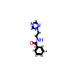 O=C(NCCn1cncn1)c1ccccc1